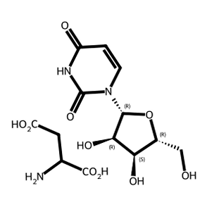 NC(CC(=O)O)C(=O)O.O=c1ccn([C@@H]2O[C@H](CO)[C@@H](O)[C@H]2O)c(=O)[nH]1